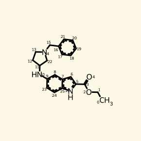 CCOC(=O)c1cc2cc(NC3CCN(Cc4ccccc4)C3)ccc2[nH]1